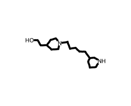 OCCC1CCN(CCCCCC2CCCNC2)CC1